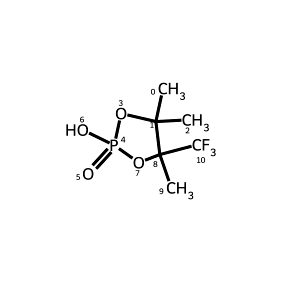 CC1(C)OP(=O)(O)OC1(C)C(F)(F)F